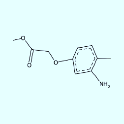 COC(=O)COc1ccc(C)c(N)c1